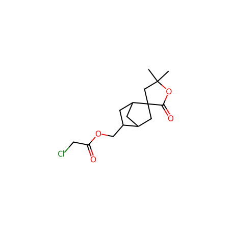 CC1(C)CC2(CC3CC2CC3COC(=O)CCl)C(=O)O1